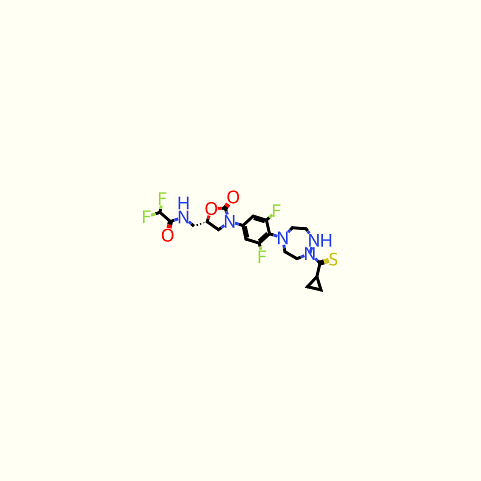 O=C(NC[C@H]1CN(c2cc(F)c(N3CCNN(C(=S)C4CC4)CC3)c(F)c2)C(=O)O1)C(F)F